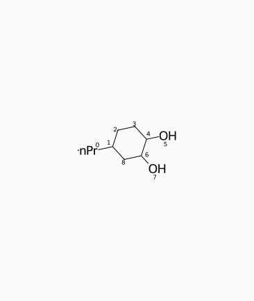 CC[CH]C1CCC(O)C(O)C1